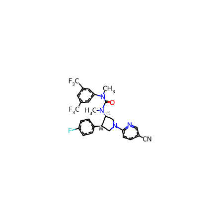 CN(C(=O)N(C)[C@@H]1CN(c2ccc(C#N)cn2)C[C@H]1c1ccc(F)cc1)c1cc(C(F)(F)F)cc(C(F)(F)F)c1